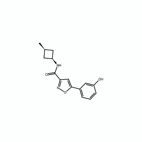 C[C@H]1C[C@@H](NC(=O)c2cc(-c3cccc(O)c3)on2)C1